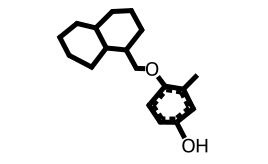 Cc1cc(O)ccc1OCC1CCCC2CCCCC21